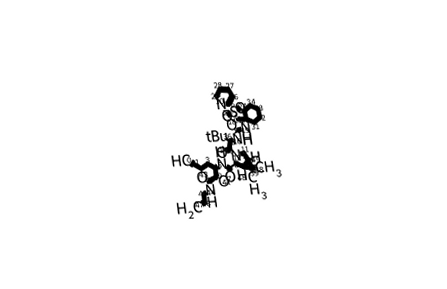 C#CCCC(NC(=O)[C@@H]1[C@@H]2[C@H](CN1C(=O)[C@@H](NC(=O)NC1(CS(=O)(=O)c3ccccn3)CCCCC1)C(C)(C)C)C2(C)C)C(=O)C(=O)NCC=C